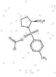 Cc1ccc(S(=O)(=O)N2CCC[C@H]2C(=O)O)cc1.O=C(Cl)Cl